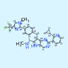 CNCc1[nH]c2cnc(-c3cccnc3C3CC3)nc2c1Cc1ccc(-c2nc(C(F)(F)F)cn2C)cc1